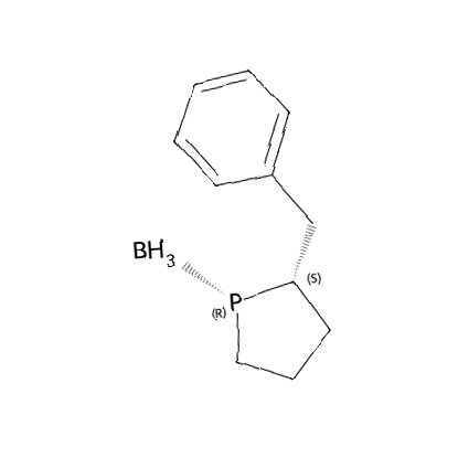 B.C[P@@]1CCC[C@H]1Cc1ccccc1